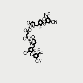 N#Cc1cc(Oc2c(Cl)ccc(Cc3ccc(=O)n(COC(=O)CCC(=O)OCn4nc(Cc5ccc(Cl)c(Oc6cc(C#N)cc(C(F)F)c6)c5F)ccc4=O)n3)c2F)cc(C(F)F)c1